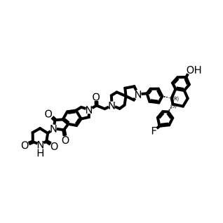 O=C1CCC(N2C(=O)c3cc4c(cc3C2=O)CN(C(=O)CN2CCC3(CC2)CCN(c2ccc([C@@H]5c6ccc(O)cc6CC[C@@H]5c5ccc(F)cc5)cc2)C3)C4)C(=O)N1